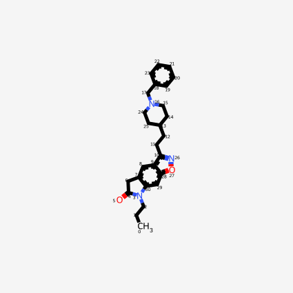 CCCN1C(=O)Cc2cc3c(CCC4CCN(Cc5ccccc5)CC4)noc3cc21